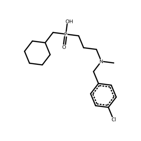 CN(CCCP(=O)(O)CC1CCCCC1)Cc1ccc(Cl)cc1